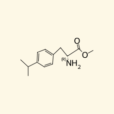 COC(=O)[C@H](N)Cc1ccc(C(C)C)cc1